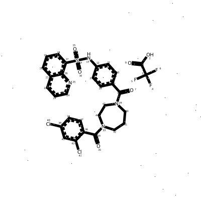 O=C(O)C(F)(F)F.O=C(c1ccc(NS(=O)(=O)c2cccc3cccnc23)cc1)N1CCCN(C(=O)c2ccc(Cl)cc2Cl)CC1